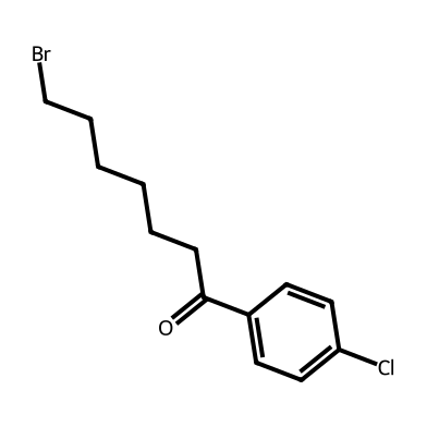 O=C(CCCCCCBr)c1ccc(Cl)cc1